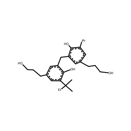 CCC(C)(C)c1cc(CCCO)cc(Cc2cc(CCCO)cc(C(C)C)c2O)c1O